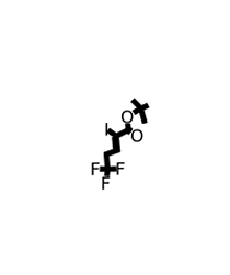 CC(C)(C)OC(=O)/C(I)=C/CC(F)(F)F